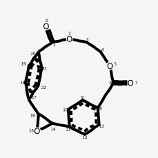 O=C1OCCOC(=O)c2ccc(cc2)C2OC2c2ccc1cc2